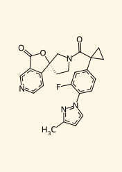 Cc1ccn(-c2ccc(C3(C(=O)N4CC[C@@]5(C4)OC(=O)c4cnccc45)CC3)cc2F)n1